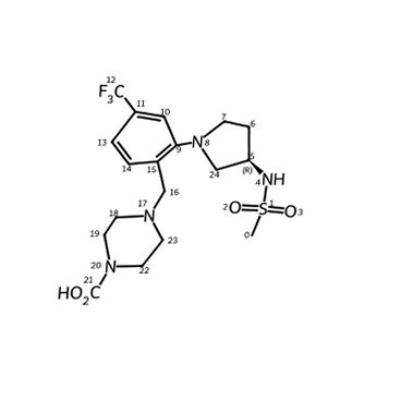 CS(=O)(=O)N[C@@H]1CCN(c2cc(C(F)(F)F)ccc2CN2CCN(C(=O)O)CC2)C1